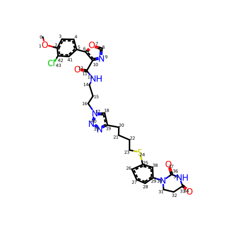 COc1ccc(-c2ocnc2C(=O)NCCCn2cc(CCCCSc3cccc(N4CCC(=O)NC4=O)c3)nn2)cc1Cl